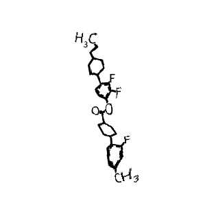 CCCC1CCC(c2ccc(OC(=O)C3CCC(c4ccc(C)cc4F)CC3)c(F)c2F)CC1